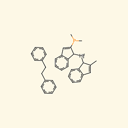 CC1=Cc2ccccc2[CH]1[Hf][CH]1C(P(C)C)=Cc2ccccc21.c1ccc(CCc2ccccc2)cc1